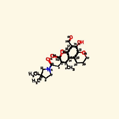 Cc1c(CC(=O)N2CCC(C)(C)C2)c(=O)oc2c(C=O)c(O)c3c(c12)CCCO3